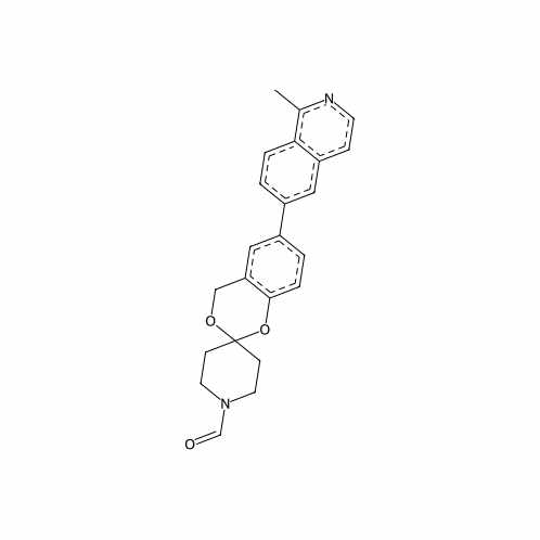 Cc1nccc2cc(-c3ccc4c(c3)COC3(CCN(C=O)CC3)O4)ccc12